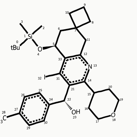 CC(C)(C)[Si](C)(C)O[C@H]1CC2(CCC2)Cc2nc(C3CCOCC3)c([C@H](O)c3ccc(C(F)(F)F)cc3)c(I)c21